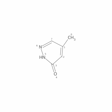 Cc1[c]c(=O)[nH]nc1